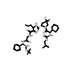 CCCC(NC(=O)[C@@H]1CC(F)(F)CN1C(=O)[C@@H](NC(=O)OCC(C)C)C1CCCCC1)C(=O)C(=O)NCC(=O)N[C@H](NOC(C)(C)C)c1ccccc1